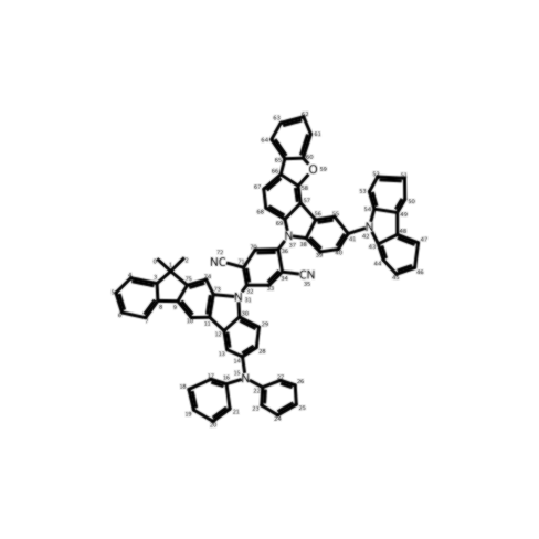 CC1(C)c2ccccc2-c2cc3c4cc(N(c5ccccc5)c5ccccc5)ccc4n(-c4cc(C#N)c(-n5c6ccc(-n7c8ccccc8c8ccccc87)cc6c6c7oc8ccccc8c7ccc65)cc4C#N)c3cc21